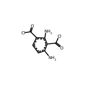 Nc1ccc(C(=O)Cl)c(N)c1C(=O)Cl